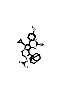 COc1ccc(-c2c(OC(N)=O)c3n(c2C2CC2)CCN(OC(N)=O)C3C23CC4CC(CC(C4)C2)C3)cc1